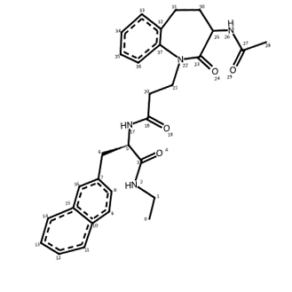 CCNC(=O)[C@@H](Cc1ccc2ccccc2c1)NC(=O)CCN1C(=O)C(NC(C)=O)CCc2ccccc21